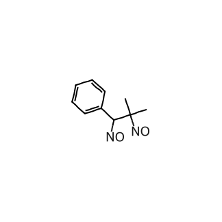 CC(C)(N=O)C(N=O)c1ccccc1